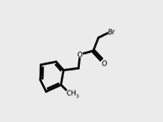 Cc1ccccc1COC(=O)CBr